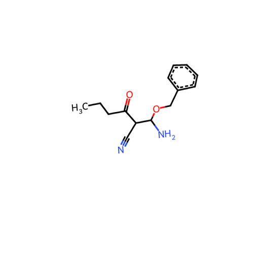 CCCC(=O)C(C#N)C(N)OCc1ccccc1